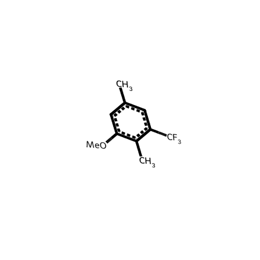 COc1cc(C)cc(C(F)(F)F)c1C